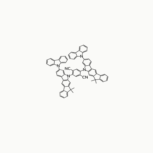 CC1(C)c2ccccc2-c2cc3c4ccc(-n5c6ccccc6c6ccccc65)cc4n(-c4cc(C#N)c(-n5c6cc(-n7c8ccccc8c8ccccc87)ccc6c6cc7c(cc65)C(C)(C)c5ccccc5-7)cc4C#N)c3cc21